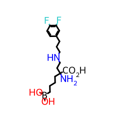 NC(CCCCB(O)O)(CCNCCCc1ccc(F)c(F)c1)C(=O)O